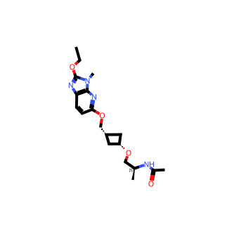 CCOc1nc2ccc(OC[C@H]3C[C@@H](OC[C@H](C)NC(C)=O)C3)nc2n1C